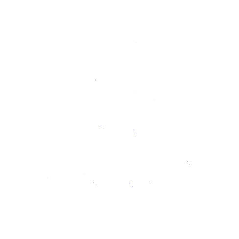 COC(=O)c1cnc(NC(=O)C2CC2)cc1NC1=C2C(=O)C(CC(F)(F)F)C=CC2C=N1